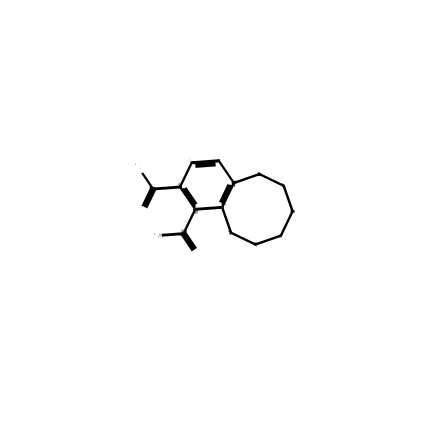 NC(=O)c1ccc2c(c1C(N)=O)CCCCCC2